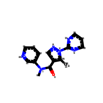 CN(C(=O)c1cnn(-c2ncccn2)c1C(F)(F)F)c1cccnc1